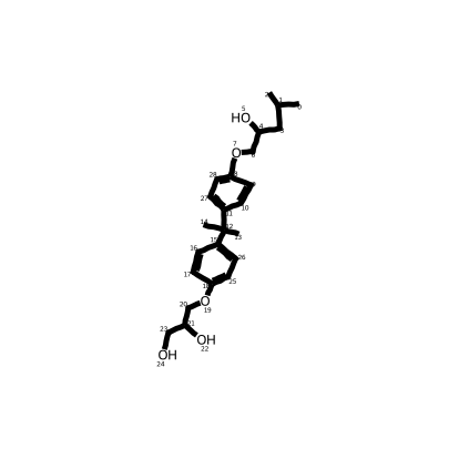 CC(C)CC(O)COc1ccc(C(C)(C)c2ccc(OCC(O)CO)cc2)cc1